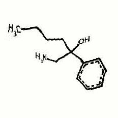 CCCCC(O)(CN)c1ccccc1